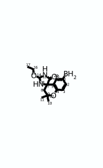 Bc1ccc2c(c1)C1(CC(C)(C)O2)NC(OCC)NC1=O